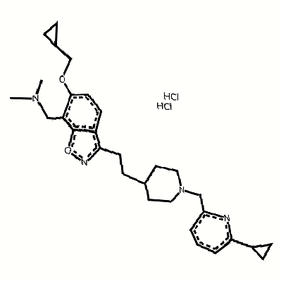 CN(C)Cc1c(OCC2CC2)ccc2c(CCC3CCN(Cc4cccc(C5CC5)n4)CC3)noc12.Cl.Cl